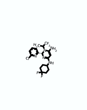 CC(N1C(N)=CC(NC2CCC(F)(F)CC2)=N[C@@H]1c1cccc(Cl)n1)C(F)(F)F